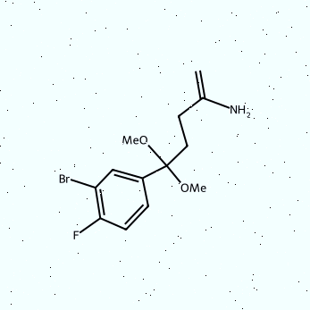 C=C(N)CCC(OC)(OC)c1ccc(F)c(Br)c1